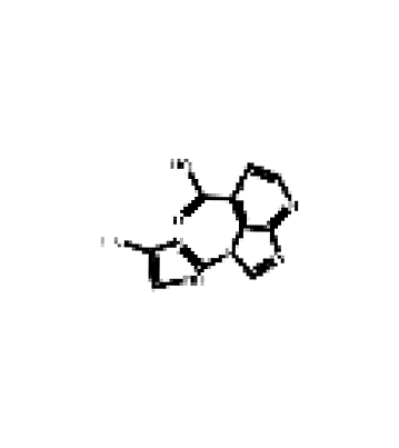 Cc1c[nH]c(-n2cnc3nccc(C(=O)O)c32)n1